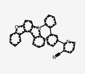 N#Cc1cccnc1-c1cccc(-c2ccccc2-n2c3ccccc3c3c4c(ccc32)oc2ccccc24)c1